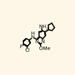 COc1nc(Nc2ccc(F)c(Cl)c2)c2cc(N)c(C3CCCC3)cc2n1